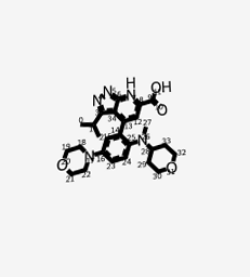 CC(C)c1nnc2[nH]c(C(=O)O)cc(-c3cc(N4CCOCC4)ccc3N(C)C3CCOCC3)c1-2